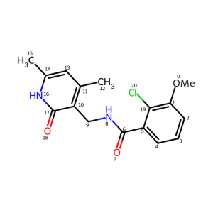 COc1cccc(C(=O)NCc2c(C)cc(C)[nH]c2=O)c1Cl